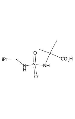 CC(C)CNS(=O)(=O)NC(C)(C)C(=O)O